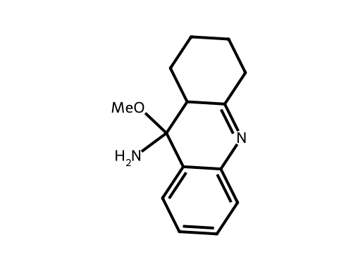 COC1(N)c2ccccc2N=C2CCCCC21